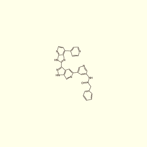 O=C(Cc1ccccc1)Nc1cncc(-c2cc3c(-c4nc5c(-c6ccncc6)ccnc5[nH]4)n[nH]c3cn2)c1